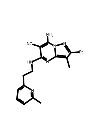 CCc1nn2c(N)c(C#N)c(NCCc3cccc(C)n3)nc2c1C